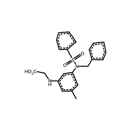 Cc1cc(NCC(=O)O)cc(N(Cc2ccccc2)S(=O)(=O)c2ccccc2)c1